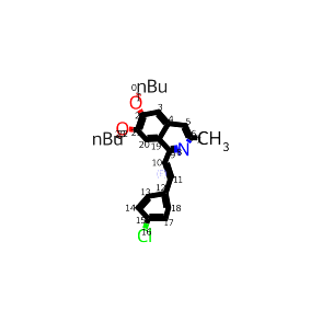 CCCCOc1cc2cc(C)nc(/C=C/c3ccc(Cl)cc3)c2cc1OCCCC